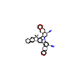 CC1(C)c2cc3ccccc3cc2-c2cc3c4c5c(c(C#N)cc4n4c6cc(C#N)c7c(c6c(c21)c34)C1c2ccccc2C7c2ccccc21)C1c2ccccc2C5c2ccccc21